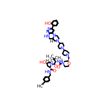 C#Cc1ccc(CNC(=O)[C@@H]2C[C@@H](O)CN2C(=O)[C@@H](NC(=O)N2CCO[C@H](CN3CCC(N4CCC(N5CCN6c7cc(-c8ccccc8O)nnc7NC[C@H]6C5)CC4)CC3)C2)C(C)(C)C)cc1